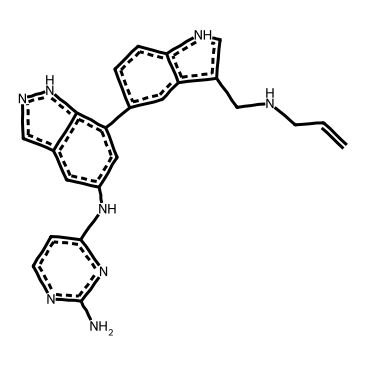 C=CCNCc1c[nH]c2ccc(-c3cc(Nc4ccnc(N)n4)cc4cn[nH]c34)cc12